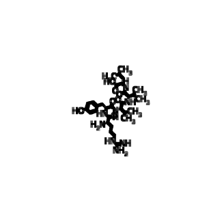 CC(C)C[C@H](NC(=O)[C@@H](NC(=O)[C@@H](NC(=O)[C@H](Cc1ccc(O)cc1)NC(=O)[C@@H](N)CCCNC(=N)N)C(C)C)C(C)C)C(=O)O